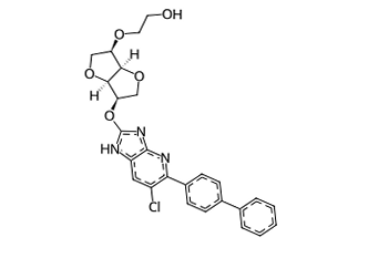 OCCO[C@@H]1CO[C@H]2[C@@H]1OC[C@H]2Oc1nc2nc(-c3ccc(-c4ccccc4)cc3)c(Cl)cc2[nH]1